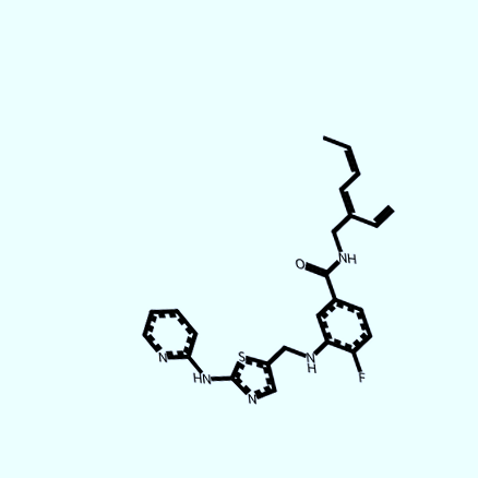 C=C/C(=C\C=C/C)CNC(=O)c1ccc(F)c(NCc2cnc(Nc3ccccn3)s2)c1